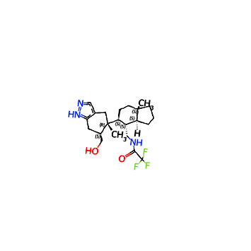 C[C@@]12CCC[C@H]1[C@H](CNC(=O)C(F)(F)F)[C@@H]([C@@]1(C)Cc3cn[nH]c3C[C@@H]1CO)CC2